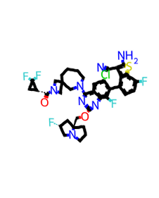 N#Cc1c(N)sc2c(F)ccc(-c3c(Cl)cc4c(N5CCCCC6(CN(C(=O)[C@@H]7CC7(F)F)C6)C5)nc(OC[C@@]56CCCN5C[C@H](F)C6)nc4c3F)c12